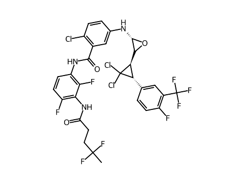 CC(F)(F)CCC(=O)Nc1c(F)ccc(NC(=O)c2cc(N[C@@H]3OC3[C@H]3[C@H](c4ccc(F)c(C(F)(F)F)c4)C3(Cl)Cl)ccc2Cl)c1F